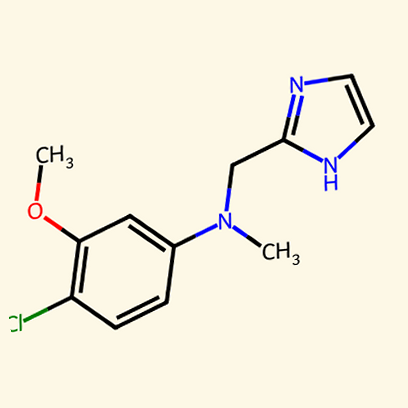 COc1cc(N(C)Cc2ncc[nH]2)ccc1Cl